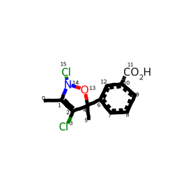 CC1=C(Cl)C(C)(c2cccc(C(=O)O)c2)ON1Cl